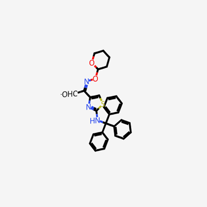 O=[C]C(=NOC1CCCCO1)c1csc(NC(c2ccccc2)(c2ccccc2)c2ccccc2)n1